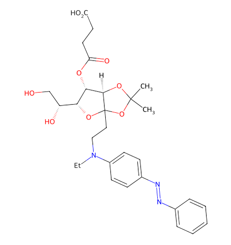 CCN(CCC12O[C@H]([C@H](O)CO)[C@H](OC(=O)CCC(=O)O)[C@H]1OC(C)(C)O2)c1ccc(N=Nc2ccccc2)cc1